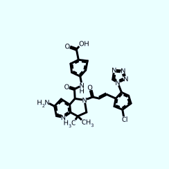 CC1(C)CN(C(=O)C=Cc2cc(Cl)ccc2-n2cnnn2)C(C(=O)Nc2ccc(C(=O)O)cc2)c2cc(N)cnc21